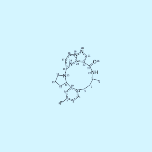 CC1CCc2ccc(F)cc2C2CCCN2c2ccn3ncc(c3n2)C(=O)N1